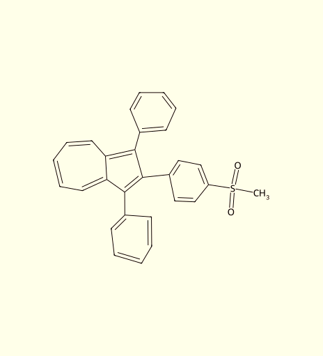 CS(=O)(=O)c1ccc(-c2c(-c3ccccc3)c3cccccc-3c2-c2ccccc2)cc1